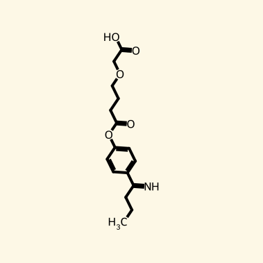 CCCC(=N)c1ccc(OC(=O)CCCOCC(=O)O)cc1